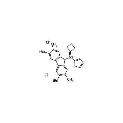 Cc1cc2c(cc1C(C)(C)C)-c1cc(C(C)(C)C)c(C)cc1[CH]2[Zr+2]([C]1=CC=CC1)=[C]1CCC1.[Cl-].[Cl-]